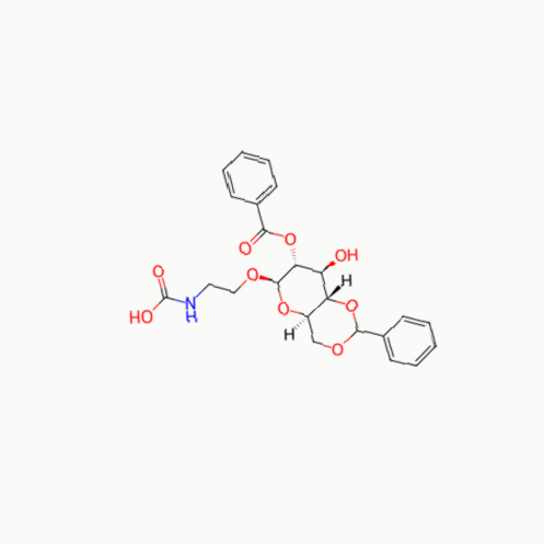 O=C(O)NCCO[C@@H]1O[C@@H]2COC(c3ccccc3)O[C@H]2[C@H](O)[C@H]1OC(=O)c1ccccc1